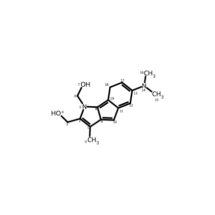 Cc1c(CO)n(CO)c2c1=CC1=CC(N(C)C)=CCC=21